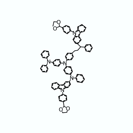 c1ccc(C(CCc2ccc(N(c3ccc(N(c4ccccc4)c4ccccc4)cc3)c3ccc(N(c4ccccc4)c4ccc5c(c4)c4ccccc4n5-c4ccc(C5OCCO5)cc4)cc3)cc2)c2ccc3c(c2)c2ccccc2n3-c2ccc(C3OCCO3)cc2)cc1